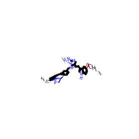 COc1ccc2[nH]cc(CCc3cnc(N)nc3NCc3ccc4[nH]c(C)cc4c3)c2c1